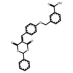 O=C1OC(c2ccccc2)OC(=O)C1=Cc1ccc(OCc2cccc(C(=O)O)c2)cc1